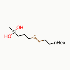 CCCCCCCCSSCCC[Si](C)(O)O